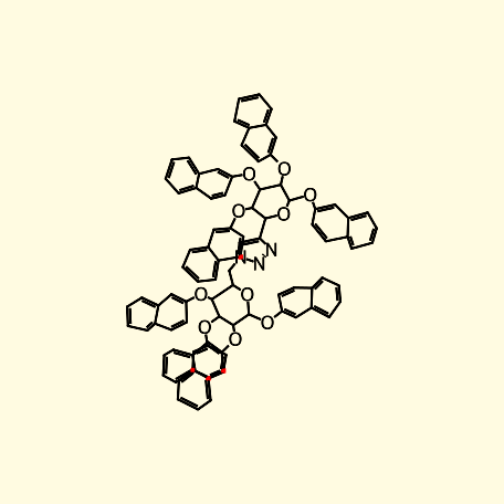 c1ccc2cc(OC3OC(Cn4cc(C5OC(Oc6ccc7ccccc7c6)C(Oc6ccc7ccccc7c6)C(Oc6ccc7ccccc7c6)C5Oc5ccc6ccccc6c5)nn4)C(Oc4ccc5ccccc5c4)C(Oc4ccc5ccccc5c4)C3Oc3ccc4ccccc4c3)ccc2c1